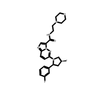 O=C(NCCN1CCOCC1)c1cnc2ccc(N3C[C@@H](F)CC3c3cccc(F)c3)nn12